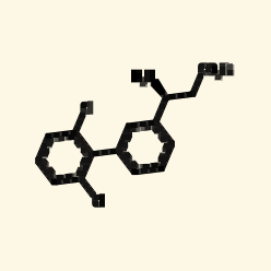 CCOC(=O)C[C@H](N)c1cccc(-c2c(Cl)cccc2Cl)c1